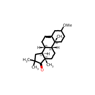 COC1CC[C@@]2(C)C(=CC[C@@H]3[C@H]2CC[C@]2(C)C(=O)C(C)(C)C[C@@H]32)C1